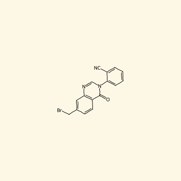 N#Cc1ccccc1-n1cnc2cc(CBr)ccc2c1=O